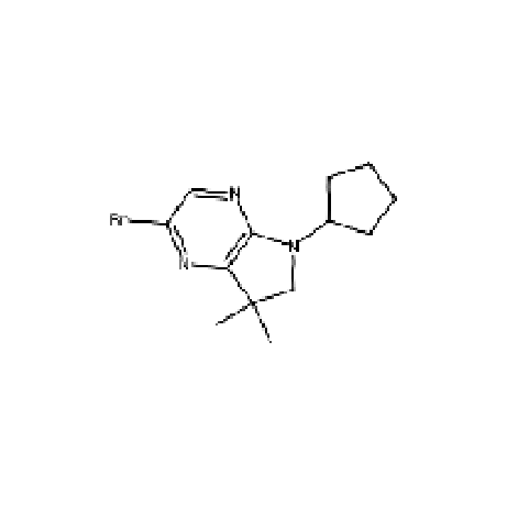 CC1(C)CN(C2CCCC2)c2ncc(Br)nc21